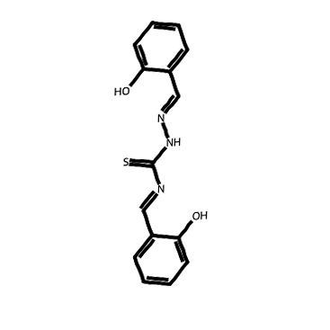 Oc1ccccc1/C=N/NC(=S)/N=C/c1ccccc1O